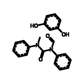 CN(C(=O)N(C=O)c1ccccc1)c1ccccc1.Oc1cccc(O)c1